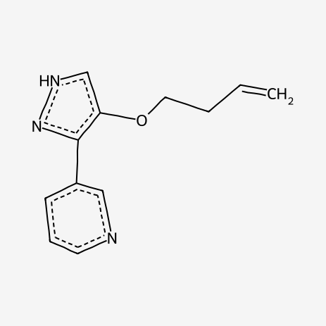 C=CCCOc1c[nH]nc1-c1cccnc1